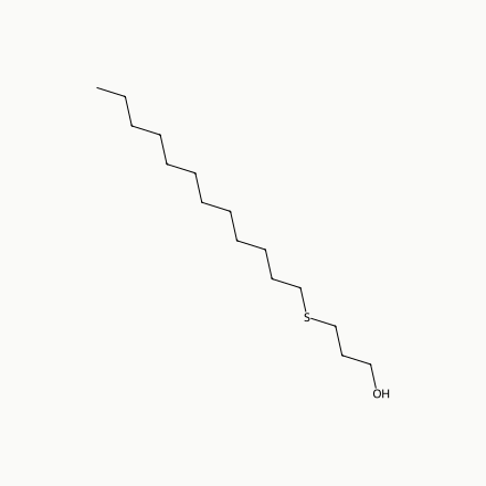 CCCCCCCCCCCCSCCCO